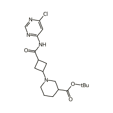 CC(C)(C)OC(=O)C1CCCN(C2CC(C(=O)Nc3cc(Cl)ncn3)C2)C1